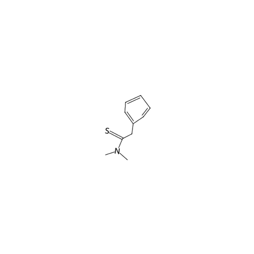 CN(C)C(=S)Cc1ccccc1